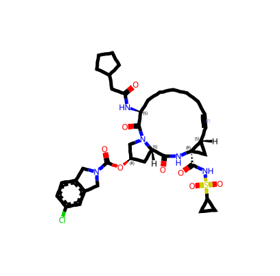 O=C(CC1CCCC1)N[C@H]1CCCCC/C=C\[C@@H]2C[C@@]2(C(=O)NS(=O)(=O)C2CC2)NC(=O)[C@@H]2C[C@@H](OC(=O)N3Cc4ccc(Cl)cc4C3)CN2C1=O